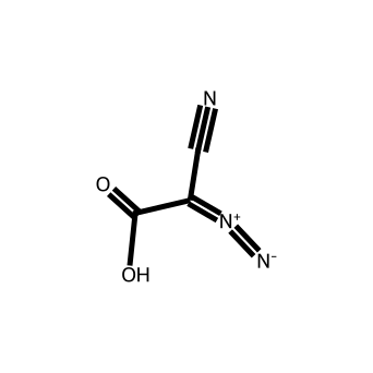 N#CC(=[N+]=[N-])C(=O)O